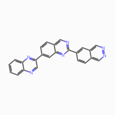 c1ccc2nc(-c3ccc4cnc(-c5ccc6cnncc6c5)nc4c3)cnc2c1